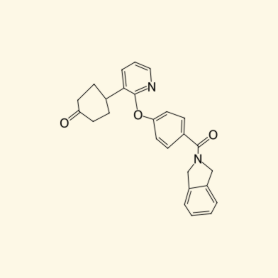 O=C1CCC(c2cccnc2Oc2ccc(C(=O)N3Cc4ccccc4C3)cc2)CC1